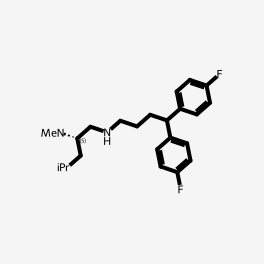 CN[C@H](CNCCCC(c1ccc(F)cc1)c1ccc(F)cc1)CC(C)C